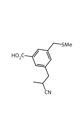 CSCc1cc(CC(C)C#N)cc(C(=O)O)c1